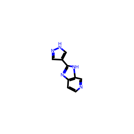 c1cc2nc(-c3cn[nH]c3)[nH]c2cn1